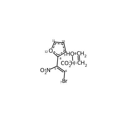 C=C.O=C(O)O.O=[N+]([O-])C(=CBr)c1ccco1